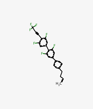 C=CCCc1ccc(-c2cc(F)c(-c3cc(F)c(C#CC(F)(F)F)c(F)c3)c(F)c2)cc1